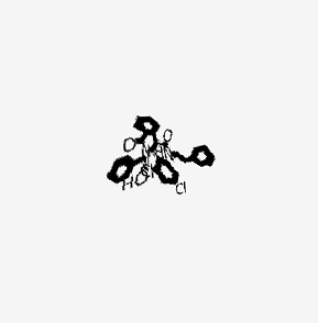 O=C(NCCc1ccccc1)[C@@H]1c2ccccc2C(=O)N([C@H](CO)c2ccccc2)[C@H]1c1ccc(Cl)cc1Cl